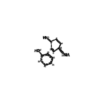 N=C1C=CC(=N)C=C1.Oc1ccccc1